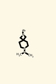 CC(C)N1CC2(CCN(N(C)C)CC2)C1